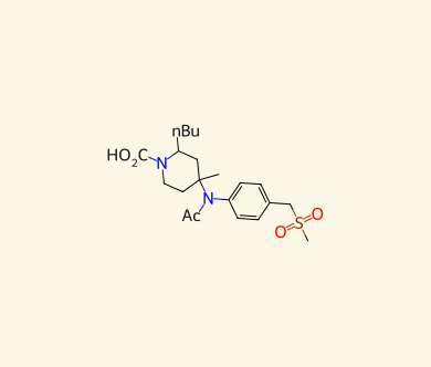 CCCCC1CC(C)(N(C(C)=O)c2ccc(CS(C)(=O)=O)cc2)CCN1C(=O)O